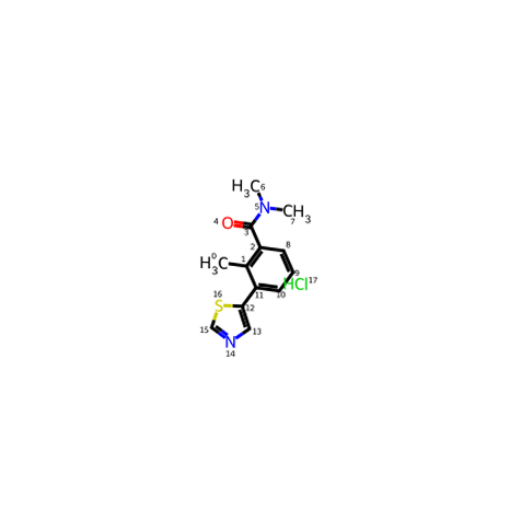 Cc1c(C(=O)N(C)C)cccc1-c1cncs1.Cl